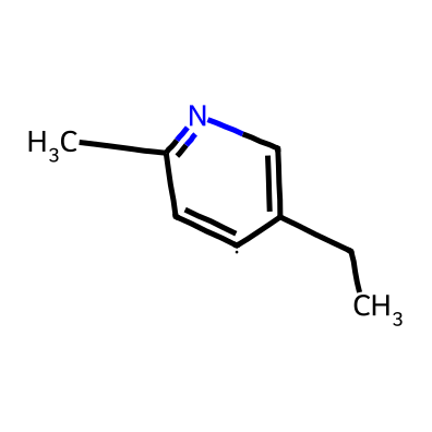 CCc1[c]cc(C)nc1